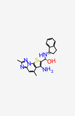 Cc1nc2cc(C)c3c(N)c(C(O)N[C@H]4CCc5ccccc54)sc3n2n1